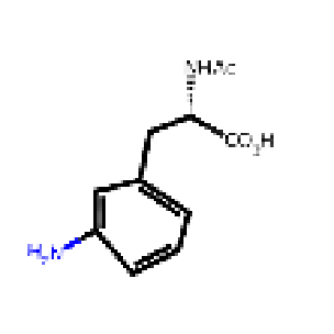 CC(=O)N[C@@H](Cc1cccc(N)c1)C(=O)O